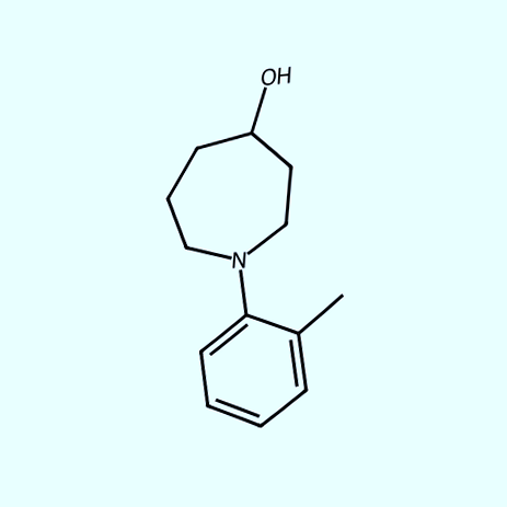 Cc1ccccc1N1CCCC(O)CC1